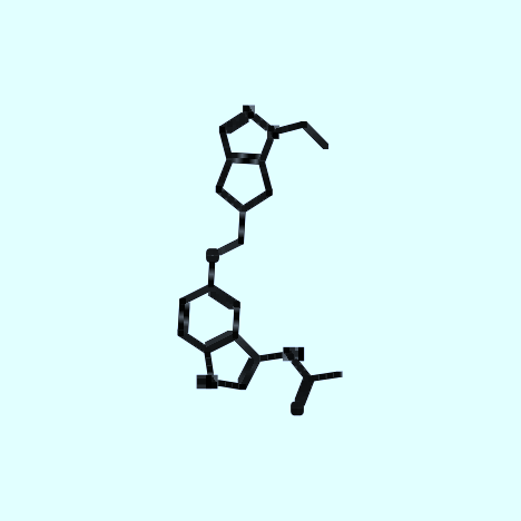 CCn1ncc2c1CC(COc1ccc3[nH]cc(NC(C)=O)c3c1)C2